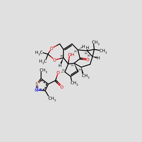 CC1=C[C@]23C(=O)[C@@H](C=C4COC(C)(C)O[C@H]4C2(O)[C@H]1OC(=O)c1c(C)nsc1C)[C@H]1[C@@H](C[C@H]3C)C1(C)C